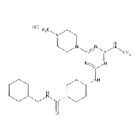 CNc1nc(N[C@H]2CC[C@@H](C(=O)NCC3CCCCC3)CC2)nc(N2CCN(C)CC2)n1.Cl